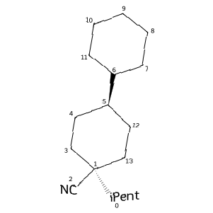 CCCC(C)[C@]1(C#N)CC[C@@H](C2CCCCC2)CC1